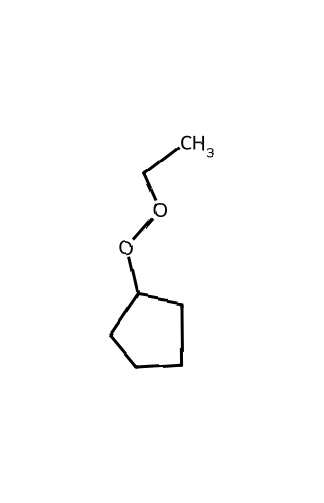 CCOOC1CCCC1